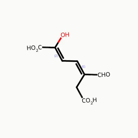 O=C/C(=C/C=C(\O)C(=O)O)CC(=O)O